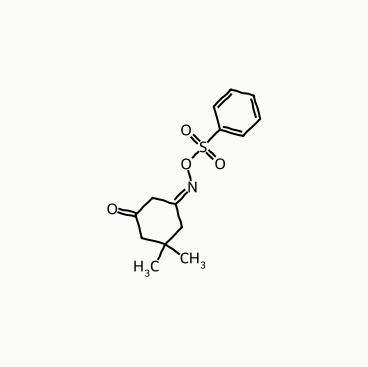 CC1(C)CC(=O)C/C(=N\OS(=O)(=O)c2ccccc2)C1